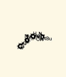 CC(C)(C)c1cc(N)n(C(O)Nc2ccc(-n3cnc4cc(OCC5CCCCO5)ccc43)cc2)n1